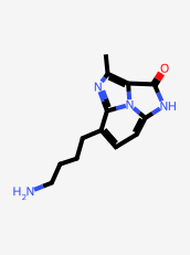 Cc1nc2c(CCCCN)ccc3[nH]c(=O)c1n32